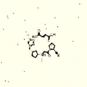 N#C[C@@H]1CCCN1C(=O)CN[C@@H]1CC[C@H](Cn2cnnn2)C1.O=C(O)C=CC(=O)O